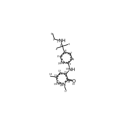 CCNC(C)(C)c1ccc(Nc2cc(C)nn(C)c2=O)nc1